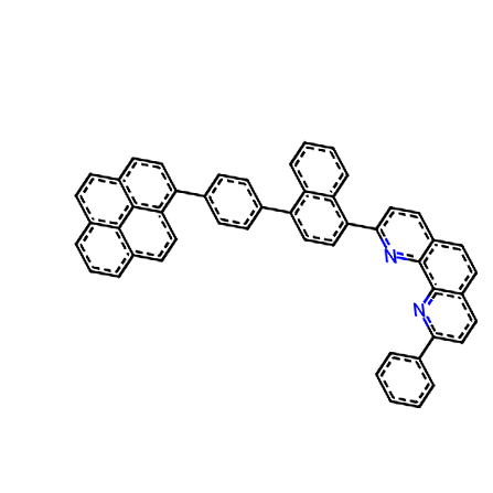 c1ccc(-c2ccc3ccc4ccc(-c5ccc(-c6ccc(-c7ccc8ccc9cccc%10ccc7c8c9%10)cc6)c6ccccc56)nc4c3n2)cc1